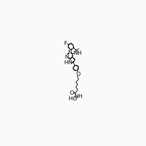 C[C@@H](Nc1ncnc2[nH]c(-c3ccc(OCCCCCCC(=O)NO)cc3)cc12)c1ccc(F)cc1